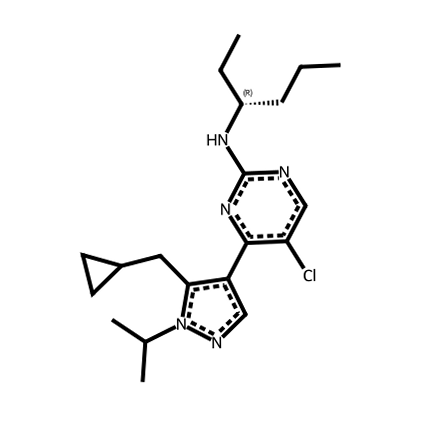 CCC[C@@H](CC)Nc1ncc(Cl)c(-c2cnn(C(C)C)c2CC2CC2)n1